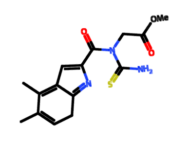 COC(=O)CN(C(=O)C1=CC2=C(C)C(C)=CCC2=N1)C(N)=S